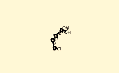 O=C(O)c1cc(OCc2cnc(-c3cccc(OCc4cccc(Cl)c4)c3)nc2)ccc1O